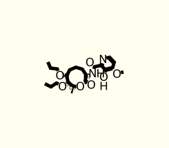 CCCO[C@H]1[C@H](C)OC(=O)[C@@H](NC(=O)c2nccc(OC)c2O)CCC[C@@H]1OCCC